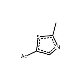 CC(=O)c1cnc(C)s1